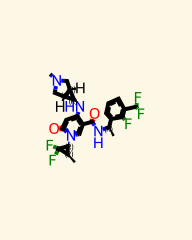 C[C@@H]1[C@@H](n2cc(C(=O)N[C@H](C)c3cccc(C(F)F)c3F)c(N[C@@H]3[C@@H]4CN(C)C[C@@H]43)cc2=O)C1(F)F